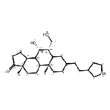 C[C@]12CCC(CCC3CCNC3)CC1[C@@H](CO)[C@@H](O)C1C2CC[C@]2(C)C(=O)CCC12